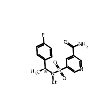 CCN([C@@H](C)c1ccc(F)cc1)S(=O)(=O)c1cncc(C(N)=O)c1